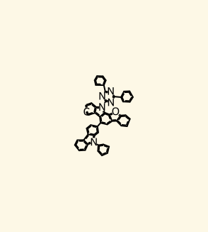 c1ccc(-c2nc(-c3ccccc3)nc(-n3c4ccccc4c4c(-c5ccc6c7ccccc7n(-c7ccccc7)c6c5)cc5c6ccccc6oc5c43)n2)cc1